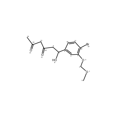 COCOc1cc(C(O)CC(=O)CC(C)=O)ccc1Br